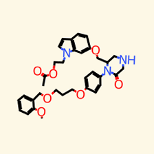 COc1ccccc1COCCCOc1ccc(N2C(=O)CNCC2COc2ccc3ccn(CCOC(C)=O)c3c2)cc1